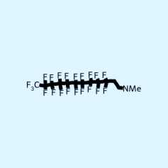 CNCCC(F)(F)C(F)(F)C(F)(F)C(F)(F)C(F)(F)C(F)(F)C(F)(F)C(F)(F)C(F)(F)C(F)(F)F